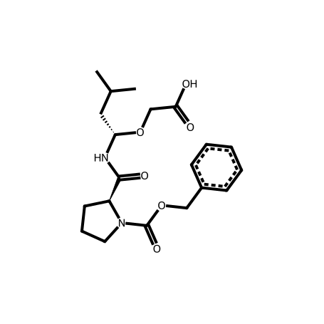 CC(C)C[C@@H](NC(=O)[C@@H]1CCCN1C(=O)OCc1ccccc1)OCC(=O)O